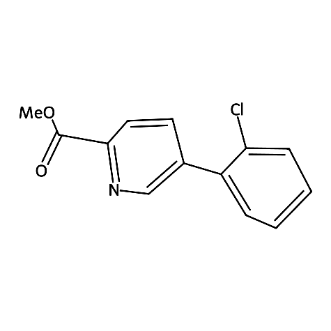 COC(=O)c1ccc(-c2ccccc2Cl)cn1